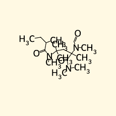 CCC(C)C(=O)N(C)C(C)(C)CC(C)(C(=O)N(C)C)N(C)C=O